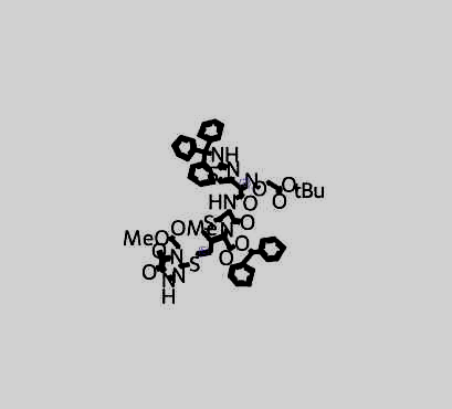 COC(Cn1c(S/C=C/C2=C(C(=O)OC(c3ccccc3)c3ccccc3)N3C(=O)C(NC(=O)/C(=N\OCC(=O)OC(C)(C)C)c4csc(NC(c5ccccc5)(c5ccccc5)c5ccccc5)n4)C3SC2)n[nH]c(=O)c1=O)OC